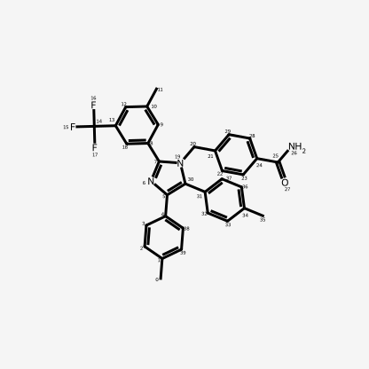 Cc1ccc(-c2nc(-c3cc(C)cc(C(F)(F)F)c3)n(Cc3ccc(C(N)=O)cc3)c2-c2ccc(C)cc2)cc1